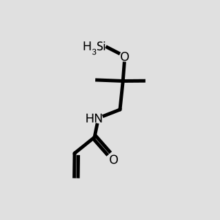 C=CC(=O)NCC(C)(C)O[SiH3]